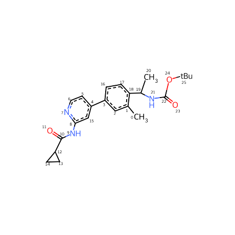 Cc1cc(-c2ccnc(NC(=O)C3CC3)c2)ccc1C(C)NC(=O)OC(C)(C)C